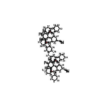 Cc1ccc2c(c1)c1ccccc1n2-c1cc(C#N)cc(-n2c3ccccc3c3cc(Cc4cc5c6ccccc6n(-c6cc(C#N)cc(-n7c8ccccc8c8ccc(C)cc87)c6-c6c(F)c(F)c(F)c(F)c6F)c5cc4C)ccc32)c1-c1c(F)c(F)c(F)c(F)c1F